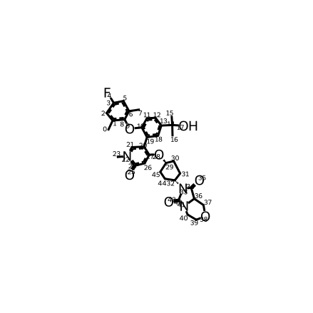 Cc1cc(F)cc(C)c1Oc1ccc(C(C)(C)O)cc1-c1cn(C)c(=O)cc1O[C@H]1CC[C@H](N2C(=O)C3COCCN3C2=O)CC1